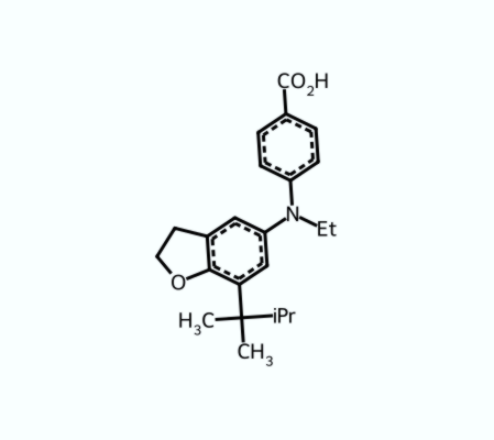 CCN(c1ccc(C(=O)O)cc1)c1cc2c(c(C(C)(C)C(C)C)c1)OCC2